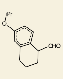 CC(C)Oc1ccc2c(c1)CCCC2C=O